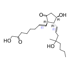 CCCCC(C)(O)C/C=C/[C@H]1[C@H](O)CC(=O)[C@@H]1/C=C/CCCCC(=O)CO